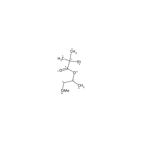 CCC(C)(C)C(=O)OC(C)COC